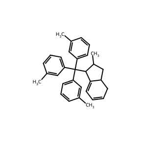 Cc1cccc(C(c2cccc(C)c2)(c2cccc(C)c2)C2C3=CC=CCC3CC2C)c1